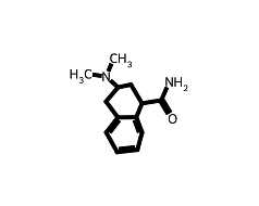 CN(C)C1Cc2ccccc2C(C(N)=O)C1